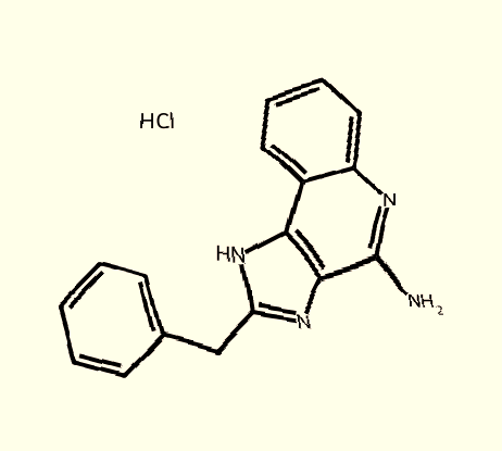 Cl.Nc1nc2ccccc2c2[nH]c(Cc3ccccc3)nc12